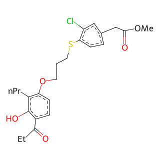 CCCc1c(OCCCSc2ccc(CC(=O)OC)cc2Cl)ccc(C(=O)CC)c1O